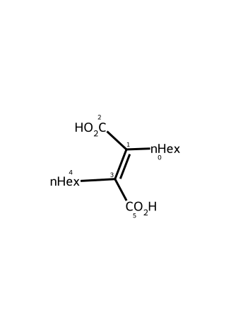 CCCCCCC(C(=O)O)=C(CCCCCC)C(=O)O